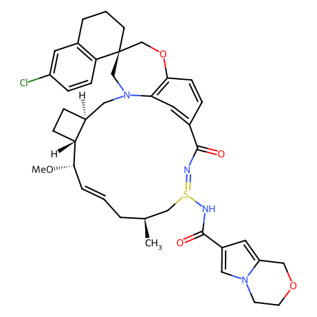 CO[C@H]1/C=C/C[C@H](C)C/S(NC(=O)c2cc3n(c2)CCOC3)=N/C(=O)c2ccc3c(c2)N(C[C@@H]2CC[C@H]21)C[C@@]1(CCCc2cc(Cl)ccc21)CO3